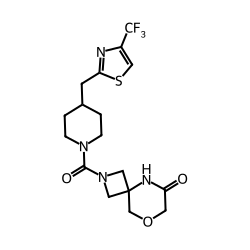 O=C1COCC2(CN(C(=O)N3CCC(Cc4nc(C(F)(F)F)cs4)CC3)C2)N1